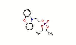 CCOP(=O)(OCC)OCCN1c2ccccc2Oc2ccccc21